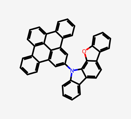 c1ccc2c(c1)oc1c2ccc2c3ccccc3n(-c3cc4c5ccccc5c5cccc6c7ccccc7c(c3)c4c56)c21